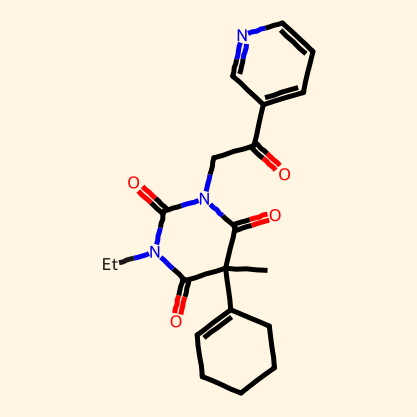 CCN1C(=O)N(CC(=O)c2cccnc2)C(=O)C(C)(C2=CCCCC2)C1=O